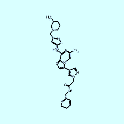 Cc1cn2c(-c3cnn(CC(=O)NCC4=NCCC=C4)c3)cnc2c(Nc2cc(CN3CCCC(C)C3)ns2)n1